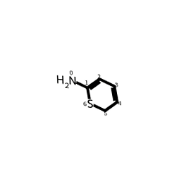 NC1=CC=CCS1